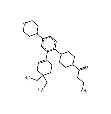 CCCC(=O)N1CCN(c2ccc(N3CCOCC3)cc2C2=CCC(CC)(CC)CC2)CC1